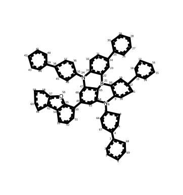 c1ccc(-c2ccc(N3c4ccc(-c5ccccc5)cc4B4c5cc(-c6ccccc6)ccc5N(c5ccc(-c6ccccc6)cc5)c5cc(-c6cccc7c6oc6ccccc67)cc3c54)cc2)cc1